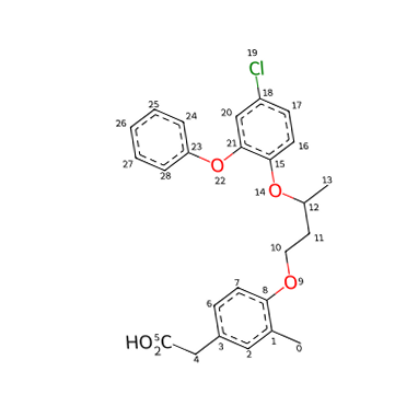 Cc1cc(CC(=O)O)ccc1OCCC(C)Oc1ccc(Cl)cc1Oc1ccccc1